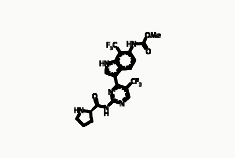 COC(=O)Nc1ccc2c(-c3nc(NC(=O)[C@H]4CCCN4)ncc3C(F)(F)F)c[nH]c2c1C(F)(F)F